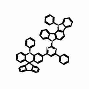 c1ccc(B2c3ccccc3C3(c4ccc(-c5cc(-c6ccccc6)nc(-n6c7ccccc7c7c6ccc6c8ccccc8n(-c8ccccc8)c67)n5)cc42)c2ccccc2-c2ccccc23)cc1